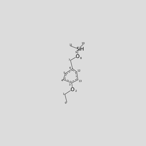 CCOc1ccc(CO[SiH](C)C)cc1